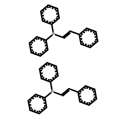 C(=C\P(c1ccccc1)c1ccccc1)/c1ccccc1.C(=C\P(c1ccccc1)c1ccccc1)/c1ccccc1